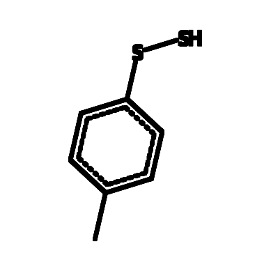 Cc1ccc(SS)cc1